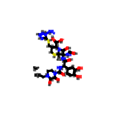 CCN1CCN(C(=O)NC(C(=O)N[C@]2(NC=O)C(=O)N3C(C(=O)[O-])=C(CSc4nnnn4N)CS[C@H]32)c2ccc(O)c(O)c2)C(=O)C1=O.[Na+]